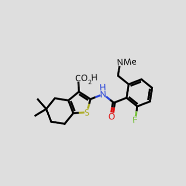 CNCc1cccc(F)c1C(=O)Nc1sc2c(c1C(=O)O)CC(C)(C)CC2